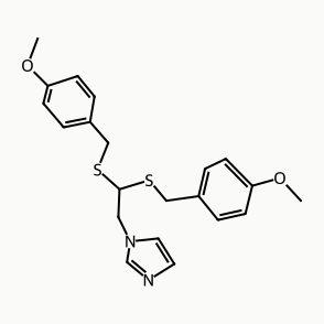 COc1ccc(CSC(Cn2ccnc2)SCc2ccc(OC)cc2)cc1